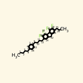 CCCCCc1ccc(CCCCc2cc3c(c(F)c2F)-c2c(cc(CCC)c(F)c2F)C3)cc1